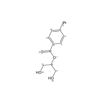 CC(C)c1ccc(C(=O)OC(CO)CO)cc1